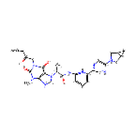 COCC(=O)Cn1c(=O)c2c(n(C)c1=O)NCN2[C@@H](C)C(=O)Nc1cccc(-c2cnc(N3CC4CC4C3)cn2)n1